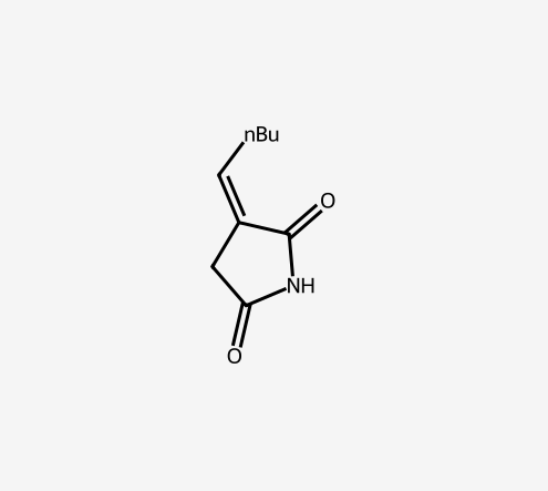 CCCCC=C1CC(=O)NC1=O